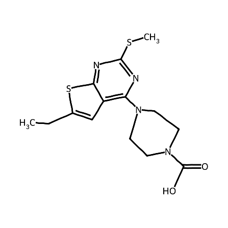 CCc1cc2c(N3CCN(C(=O)O)CC3)nc(SC)nc2s1